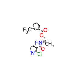 C[C@@H](COC(=O)c1cccc(C(F)(F)F)c1)NC(=O)c1cccnc1Cl